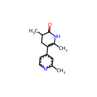 CC1=C(c2ccnc(C)c2)CC(C)C(=O)N1